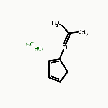 C[C](C)=[Ti][C]1=CC=CC1.Cl.Cl